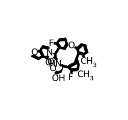 Cc1cc2cc(c1F)[C@@H](CC(=O)O)NC(=O)[C@H](n1ccc3occc3c1=O)c1cc(ccc1F)Oc1cccc(C)c1-2